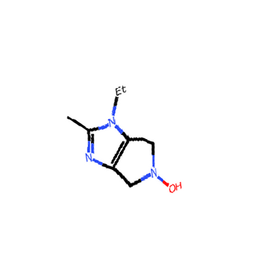 CCn1c(C)nc2c1CN(O)C2